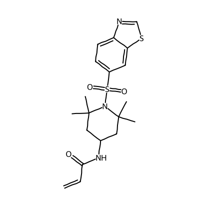 C=CC(=O)NC1CC(C)(C)N(S(=O)(=O)c2ccc3ncsc3c2)C(C)(C)C1